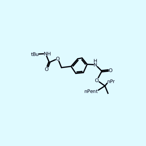 CCCCCC(C)(CCC)OC(=O)Nc1ccc(COC(=O)NC(C)(C)C)cc1